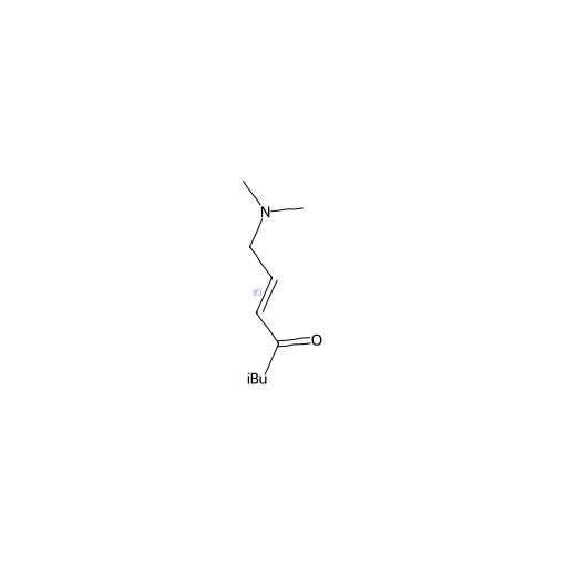 CCC(C)C(=O)/C=C/CN(C)C